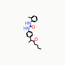 CCCCC(=O)C(C)c1ccc(NC(=O)Nc2ccccc2C)cc1